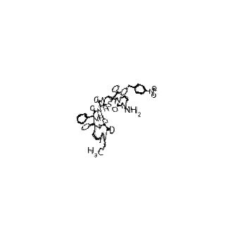 CCN1CCN(C(=O)NC(C(=O)N[C@@H]2C(=O)N3C[C@@](C(=O)OCc4ccc([N+](=O)[O-])cc4)(N4CCN(N)C4=O)S[C@H]23)c2ccccc2)C(=O)C1=O